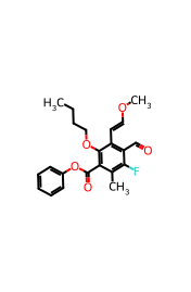 CCCCOc1c(C=COC)c(C=O)c(F)c(C)c1C(=O)Oc1ccccc1